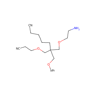 CCCOCC(CCCCC#N)(COCCN)COCCC#N